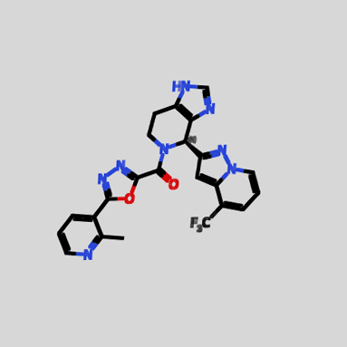 Cc1ncccc1-c1nnc(C(=O)N2CCc3[nH]cnc3[C@H]2c2cc3c(C(F)(F)F)cccn3n2)o1